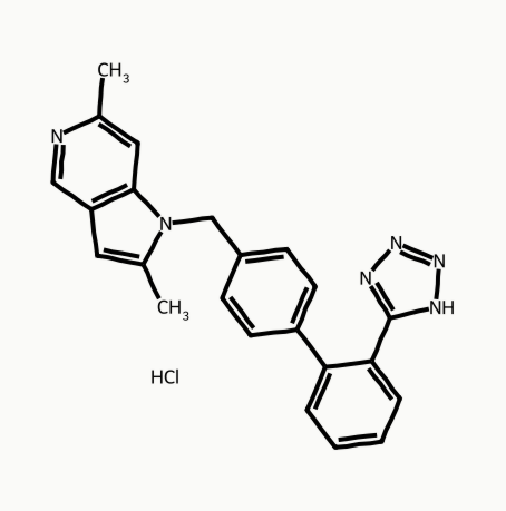 Cc1cc2c(cn1)cc(C)n2Cc1ccc(-c2ccccc2-c2nnn[nH]2)cc1.Cl